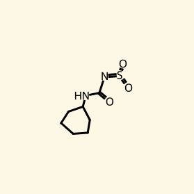 O=C(N=S(=O)=O)NC1CCCCC1